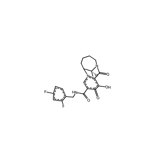 C[C@H]1C2CCCCN1C(=O)c1c(O)c(=O)c(C(=O)NCc3ccc(F)cc3F)cn12